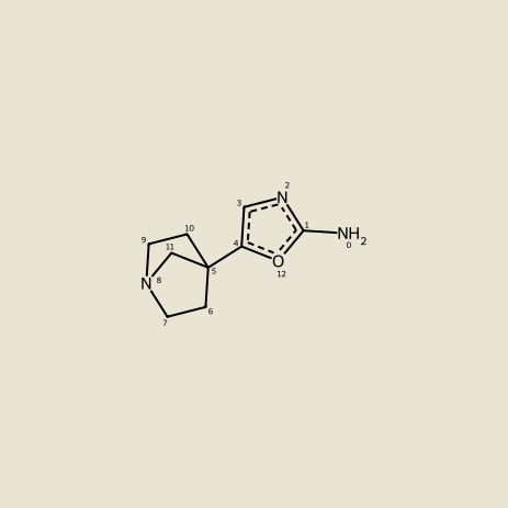 Nc1ncc(C23CCN(CC2)C3)o1